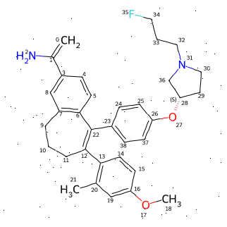 C=C(N)c1ccc2c(c1)CCCC(c1ccc(OC)cc1C)=C2c1ccc(O[C@H]2CCN(CCCF)C2)cc1